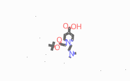 CN(C)CC[N+]1(CC(=O)OC(C)(C)C)CCC(C(=O)O)CC1